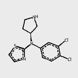 Clc1ccc(N(c2nccs2)[C@H]2CCNC2)cc1Cl